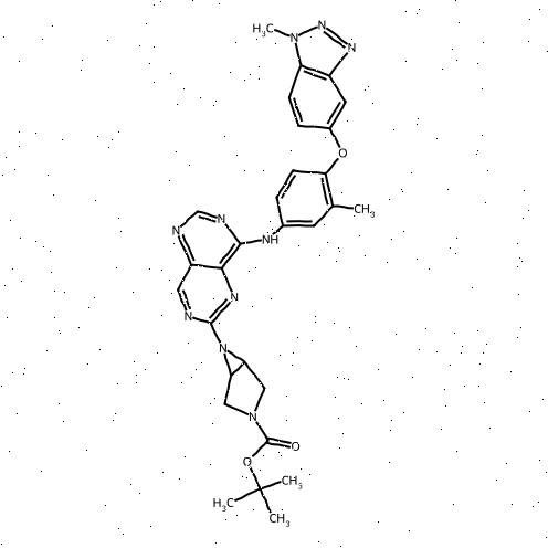 Cc1cc(Nc2ncnc3cnc(N4C5CN(C(=O)OC(C)(C)C)CC54)nc23)ccc1Oc1ccc2c(c1)nnn2C